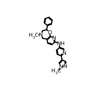 CN1Cc2ccc(Nc3ccc(-c4cnn(C)c4)nc3)nc2OC(c2ccccc2)C1